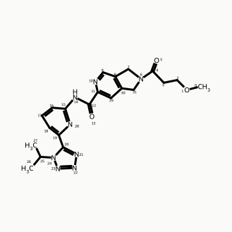 COCCC(=O)N1Cc2cnc(C(=O)Nc3cccc(-c4nnnn4C(C)C)n3)cc2C1